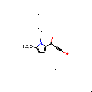 CCOC(=O)c1ccc(C(=O)C#CO)n1C